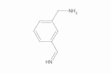 N=Cc1cccc(CN)c1